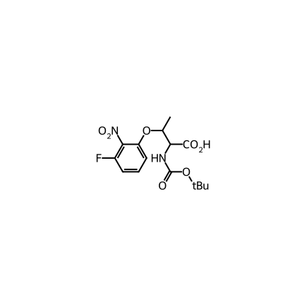 CC(Oc1cccc(F)c1[N+](=O)[O-])C(NC(=O)OC(C)(C)C)C(=O)O